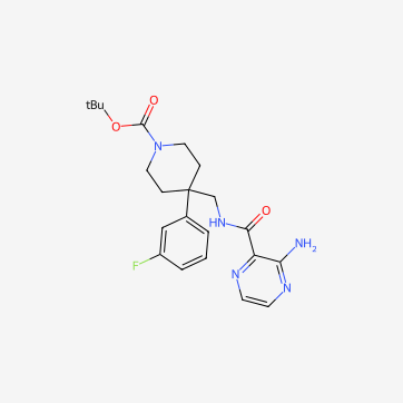 CC(C)(C)OC(=O)N1CCC(CNC(=O)c2nccnc2N)(c2cccc(F)c2)CC1